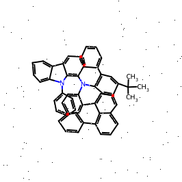 CC(C)(C)c1ccc(N(c2ccccc2-c2cccc3cccc(-c4ccccc4)c23)c2cccc3c4ccccc4n(-c4ccccc4)c23)c(-c2ccccc2)c1